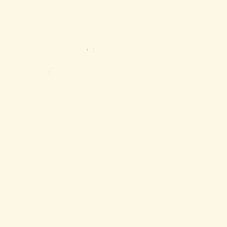 CCCC(C)/C=C/C=C/C(=O)Cl